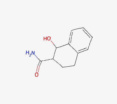 NC(=O)C1CCc2ccccc2C1O